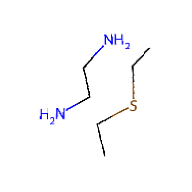 CCSCC.NCCN